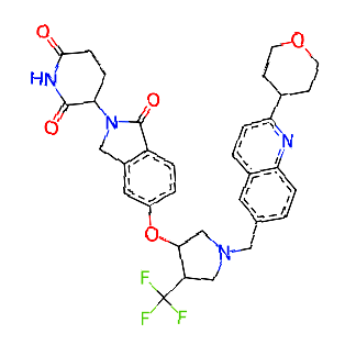 O=C1CCC(N2Cc3cc(OC4CN(Cc5ccc6nc(C7CCOCC7)ccc6c5)CC4C(F)(F)F)ccc3C2=O)C(=O)N1